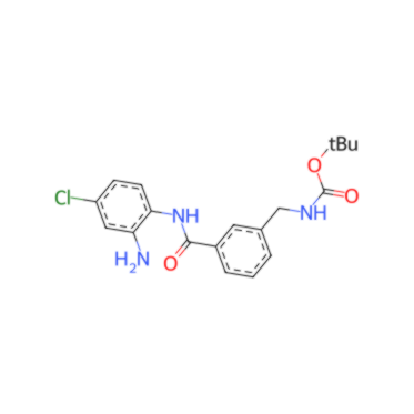 CC(C)(C)OC(=O)NCc1cccc(C(=O)Nc2ccc(Cl)cc2N)c1